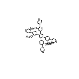 COc1cc(-c2cc(-c3ccc(-c4ccncc4)c(OC)c3)c(-c3ccc(-c4ccncc4)c(OC)c3)cc2-c2ccc(-c3ccncc3)c(OC)c2)ccc1-c1ccncc1